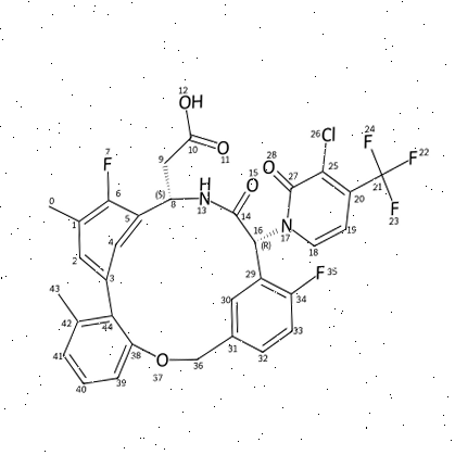 Cc1cc2cc(c1F)[C@H](CC(=O)O)NC(=O)[C@H](n1ccc(C(F)(F)F)c(Cl)c1=O)c1cc(ccc1F)COc1cccc(C)c1-2